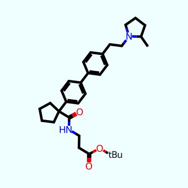 CC1CCCN1CCc1ccc(-c2ccc(C3(C(=O)NCCC(=O)OC(C)(C)C)CCCC3)cc2)cc1